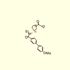 CCN(C[C@@H]1CCN(C(=O)C2CC2)C1)C(=O)c1ccc(-c2ccc(OC)cc2)cc1